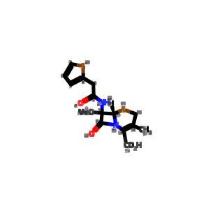 COC1(NC(=O)Cc2cccs2)C(=O)N2C(C(=O)O)=C(C)CS[C@H]21